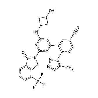 Cn1cnnc1-c1ccc(C#N)cc1-c1cc(NC2CC(O)C2)nc(N2Cc3c(cccc3C(F)(F)F)C2=O)c1